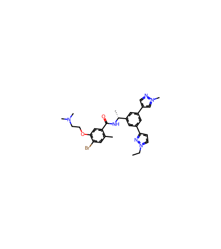 CCn1ccc(-c2cc(-c3cnn(C)c3)cc([C@@H](C)NC(=O)c3cc(OCCN(C)C)c(Br)cc3C)c2)n1